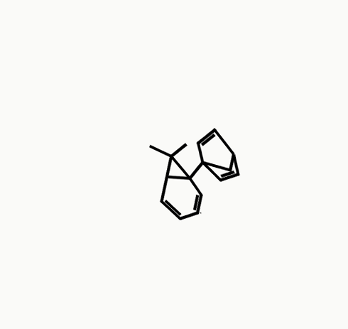 CC1(C)C2C=C[C]=CC21C12C=CC(C=C1)C2